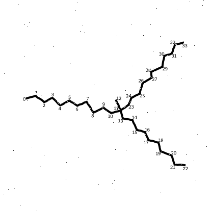 CCCCCCCCCCCC(C)(CCCCCCCCCC)CCCCCCCCCCC